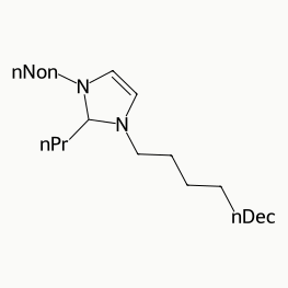 CCCCCCCCCCCCCCN1C=CN(CCCCCCCCC)C1CCC